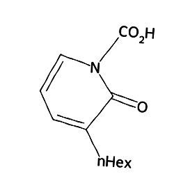 CCCCCCc1cccn(C(=O)O)c1=O